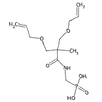 C=CCOCC(C)(COCC=C)C(=O)NCP(=O)(O)O